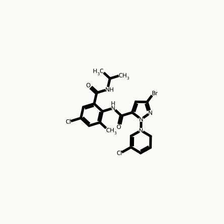 Cc1cc(Cl)cc(C(=O)NC(C)C)c1NC(=O)c1cc(Br)nn1N1C=C(Cl)C=CC1